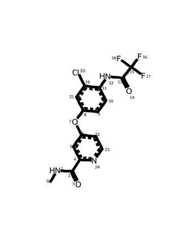 CNC(=O)c1cc(Oc2ccc(NC(=O)C(F)(F)F)c(Cl)c2)ccn1